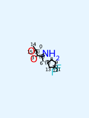 C[C@@]1(C(=O)[C@@H](N)C[C@@H]2CCC(F)(F)C2)CO1